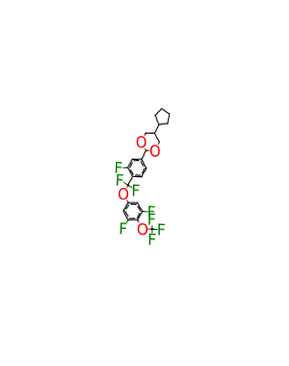 Fc1cc(C2OCC(C3CCCC3)CO2)ccc1C(F)(F)Oc1cc(F)c(OC(F)(F)F)c(F)c1